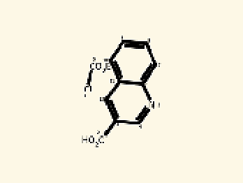 CCOC(=O)Cl.O=C(O)c1cnc2ccccc2c1